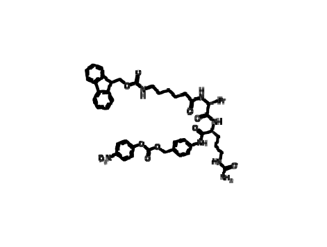 CC(C)[C@H](NC(=O)CCCCCNC(=O)OCC1c2ccccc2-c2ccccc21)C(=O)N[C@@H](CCCNC(N)=O)C(=O)Nc1ccc(COC(=O)Oc2ccc([N+](=O)[O-])cc2)cc1